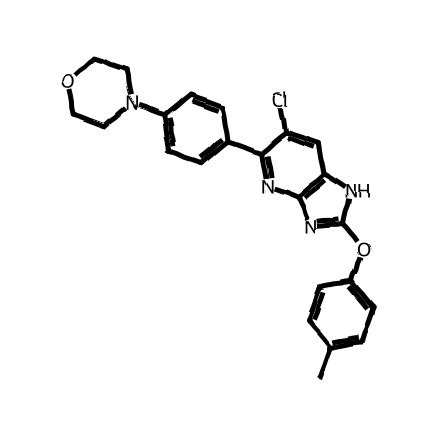 Cc1ccc(Oc2nc3nc(-c4ccc(N5CCOCC5)cc4)c(Cl)cc3[nH]2)cc1